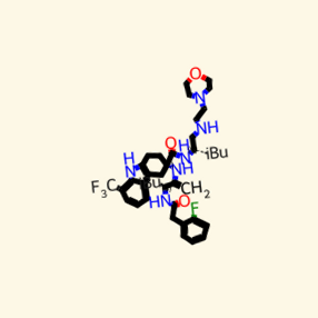 C=C(N[C@]1(C(=O)N[C@H](CNCCN2CCOCC2)C(C)CC)CCc2[nH]c3c(C(F)(F)F)cccc3c2C1)[C@@H](NC(=O)Cc1ccccc1F)C(C)CC